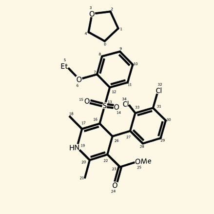 C1CCOC1.CCOc1ccccc1S(=O)(=O)C1=C(C)NC(C)=C(C(=O)OC)C1c1cccc(Cl)c1Cl